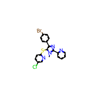 Cn1c(-c2ccccn2)nc(-c2ccc(Br)cc2)c1Sc1ccc(Cl)cn1